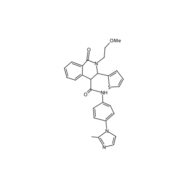 COCCN1C(=O)c2ccccc2C(C(=O)Nc2ccc(-n3ccnc3C)cc2)C1c1cccs1